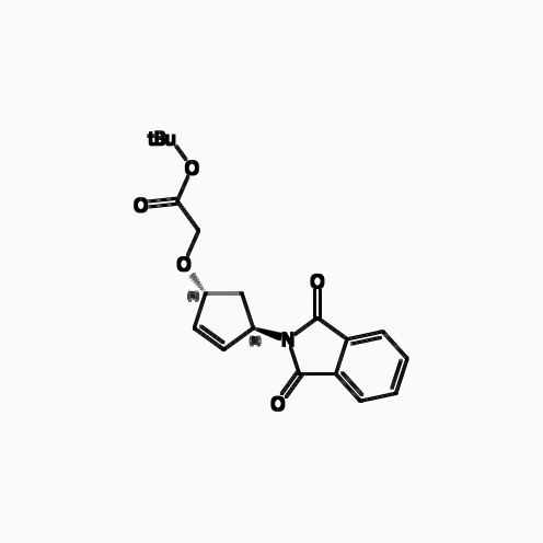 CC(C)(C)OC(=O)CO[C@H]1C=C[C@H](N2C(=O)c3ccccc3C2=O)C1